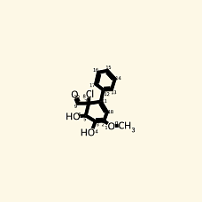 COC1=C(O)C(O)C(Cl)(C=O)C(c2ccccc2)=C1